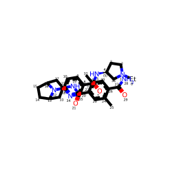 CCN1CC[C@H](NC(=O)c2ccc(N3C4CCC3CC(NC(=O)c3cc(C)c(C(N)=O)cc3C)C4)nc2)C1